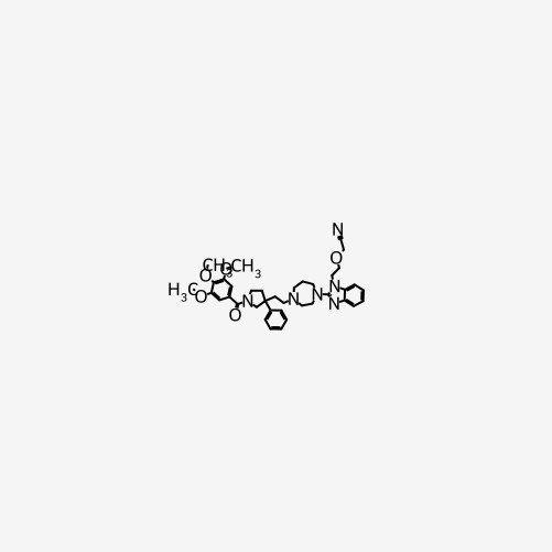 COc1cc(C(=O)N2CCC(CCN3CCCN(c4nc5ccccc5n4CCOCC#N)CC3)(c3ccccc3)C2)cc(OC)c1OC